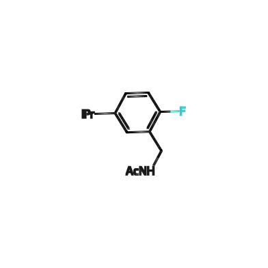 CC(=O)NCc1cc(C(C)C)ccc1F